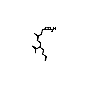 C=CCCC(C/C=C(/C)CCC(=O)O)C(=C)C